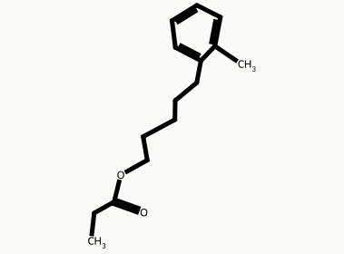 CCC(=O)OCCCCCc1ccccc1C